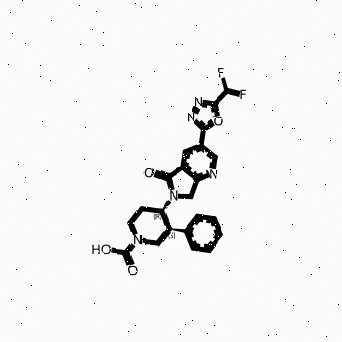 O=C(O)N1CC[C@@H](N2Cc3ncc(-c4nnc(C(F)F)o4)cc3C2=O)[C@@H](c2ccccc2)C1